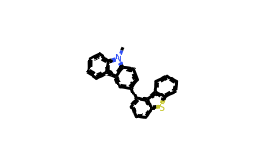 Cn1c2ccccc2c2cc(-c3cccc4sc5ccccc5c34)ccc21